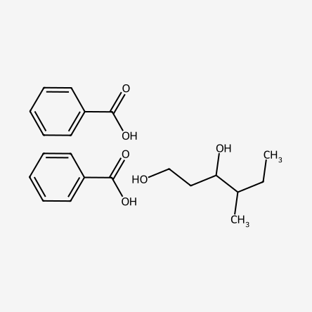 CCC(C)C(O)CCO.O=C(O)c1ccccc1.O=C(O)c1ccccc1